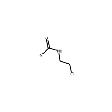 O=C([S])NCCCl